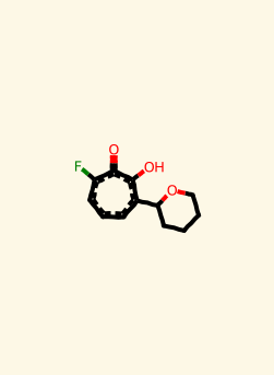 O=c1c(F)cccc(C2CCCCO2)c1O